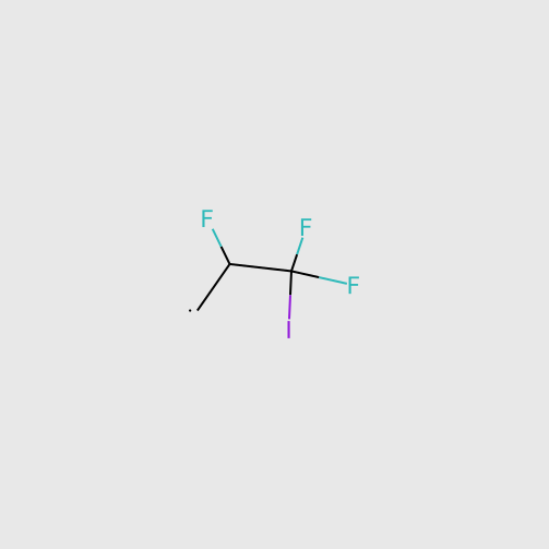 [CH2]C(F)C(F)(F)I